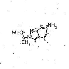 COC(C)n1cc2ccc(N)cc2n1